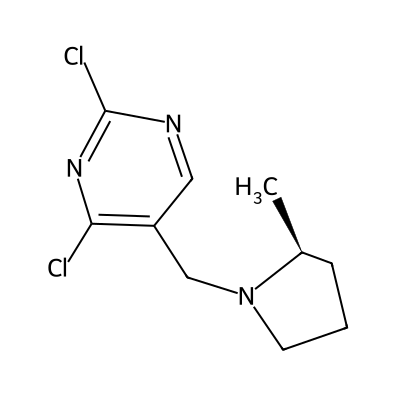 C[C@H]1CCCN1Cc1cnc(Cl)nc1Cl